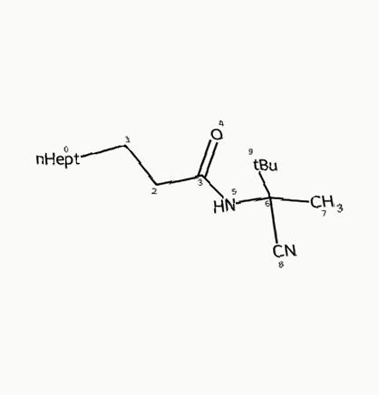 CCCCCCCCCC(=O)NC(C)(C#N)C(C)(C)C